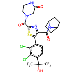 O=C1CN(C(=O)c2nc(C(=O)N3C4CCC3CC4)c(-c3ccc(C(O)(C(F)(F)F)C(F)(F)F)c(Cl)c3Cl)s2)CCN1